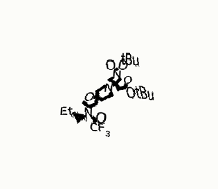 CC[C@@H]1C[C@H]1N(C(=O)C(F)(F)F)C1COC2(CCN(C3(CC(=O)OC(C)(C)C)CN(C(=O)OC(C)(C)C)C3)CC2)C1